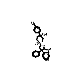 CN(C)C(=O)C(CC[N+]1([O-])CCC(O)(c2ccc(Cl)cc2)CC1)(c1ccccc1)c1ccccc1